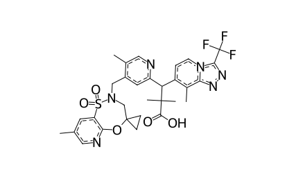 Cc1cnc2c(c1)S(=O)(=O)N(Cc1cc(C(c3ccn4c(C(F)(F)F)nnc4c3C)C(C)(C)C(=O)O)ncc1C)CC1(CC1)O2